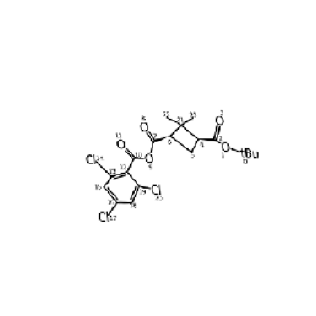 CC(C)(C)OC(=O)[C@H]1C[C@@H](C(=O)OC(=O)c2c(Cl)cc(Cl)cc2Cl)C1(C)C